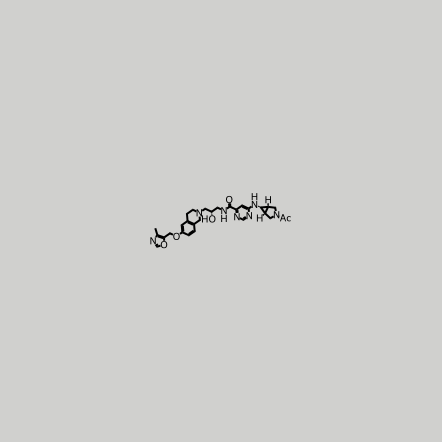 CC(=O)N1C[C@@H]2[C@H](C1)[C@@H]2Nc1cc(C(=O)NC[C@H](O)CN2CCc3cc(OCc4ocnc4C)ccc3C2)ncn1